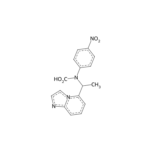 CC(c1cccc2nccn12)N(C(=O)O)c1ccc([N+](=O)[O-])cc1